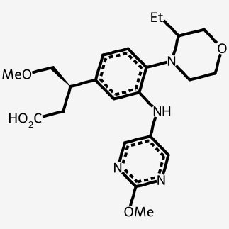 CCC1COCCN1c1ccc([C@H](COC)CC(=O)O)cc1Nc1cnc(OC)nc1